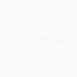 CC1(C)c2cc(N(c3ccc(-c4ccccc4)cc3)c3ccc(-c4cccc5ccccc45)cc3)ccc2-c2cccc(-c3ccccc3)c21